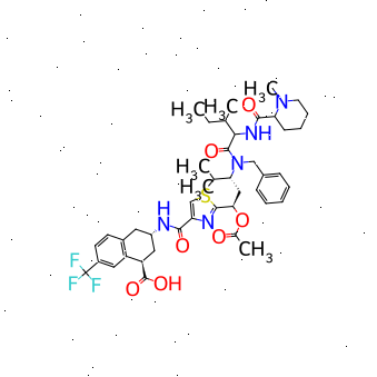 CCC(C)C(NC(=O)C1CCCCN1C)C(=O)N(Cc1ccccc1)[C@H](C[C@@H](OC(C)=O)c1nc(C(=O)N[C@H]2Cc3ccc(C(F)(F)F)cc3[C@H](C(=O)O)C2)cs1)C(C)C